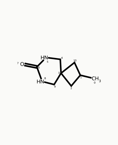 CC1CC2(CNC(=O)NC2)C1